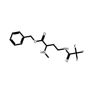 CNC(CCNC(=O)C(F)(F)F)C(=O)OCc1ccccc1